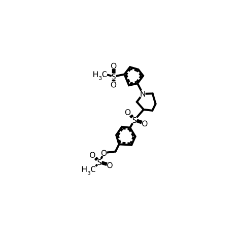 CS(=O)(=O)OCc1ccc(S(=O)(=O)C2CCCN(c3cccc(S(C)(=O)=O)c3)C2)cc1